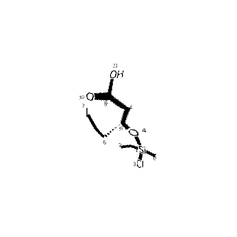 C[Si](C)(Cl)O[C@H](CI)CC(=O)O